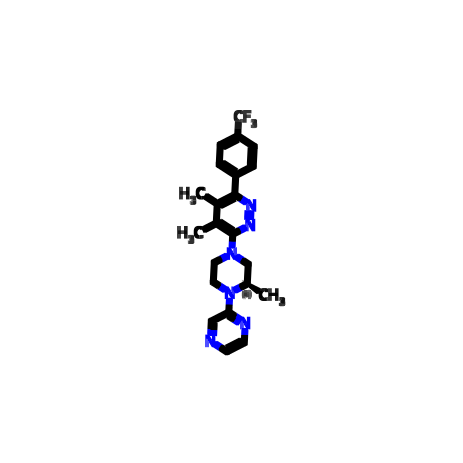 Cc1c(-c2ccc(C(F)(F)F)cc2)nnc(N2CCN(c3cnccn3)[C@H](C)C2)c1C